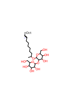 CCCCCCCC/C=C/CCCCCCC(C)OC1OC(CO)C(O)C(O)C1OC1OC(CO)C(O)C(O)C1O